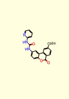 COc1ccc2c(=O)oc3ccc(NC(=O)Nc4ccccn4)cc3c2c1